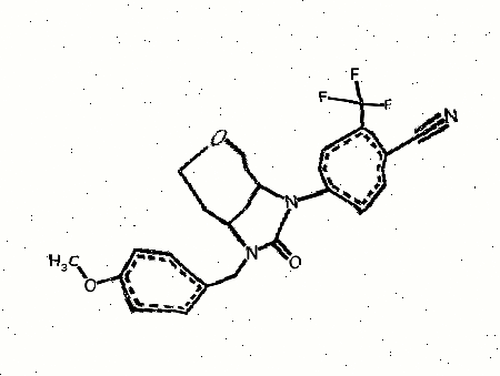 COc1ccc(CN2C(=O)N(c3ccc(C#N)c(C(F)(F)F)c3)C3COCCC32)cc1